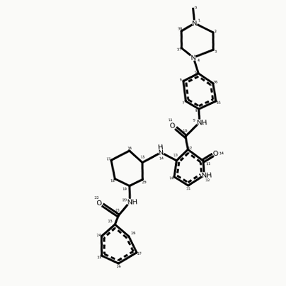 CN1CCN(c2ccc(NC(=O)c3c(NC4CCCC(NC(=O)c5ccccc5)C4)cc[nH]c3=O)cc2)CC1